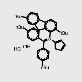 CCCCc1ccc([C](c2ccc(CCCC)cc2)=[Zr]([C]2=CC=CC2)[c]2c(C(C)(C)C)ccc3c2Cc2cc(C(C)(C)C)ccc2-3)cc1.Cl.Cl